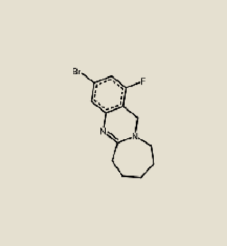 Fc1cc(Br)cc2c1CN1CCCCCC1=N2